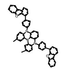 Cc1ccc2c(c1)B1c3cc(C)ccc3N(c3ccc(-c4cccc5c4oc4ccccc45)cc3)c3cccc(c31)N2c1ccc(-c2cccc3c2oc2ccccc23)cc1